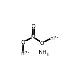 CCCO[N+](=O)OCCC.N